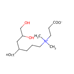 CCCCCCCCC(CCC[N+](C)(C)CCC(=O)[O-])CC(O)CO